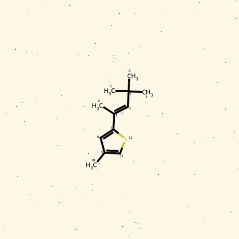 C/C(=C\C(C)(C)C)c1cc(C)cs1